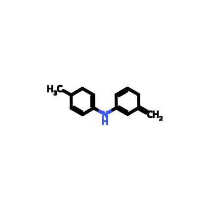 C=C1C=C(NC2=CCC(C)C=C2)C=CC1